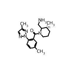 Cc1ccc(-n2ncc(C)n2)c(C(=O)N2CCC[C@@H](C)C2CN)c1